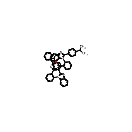 CC(C)c1ccc(-c2nc3ccccc3n2-c2ccccc2-c2nc(-c3ccccc3)nc(-c3ccccc3-n3c(-c4ccc(C(C)C)cc4)nc4ccccc43)n2)cc1